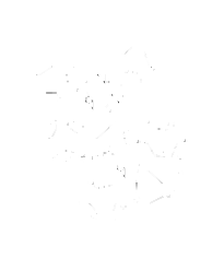 Cc1cc(-c2nc(-c3ccccc3)nc(-c3ccccc3)n2)c2c(oc3ccccc32)c1-n1c2ccccc2c2ccc3c(c21)-c1ccccc1C3(C)C